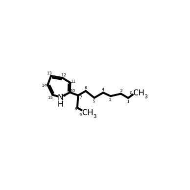 CCCCCCCC(CC)C1=CC=CC=CN1